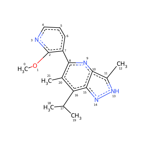 COc1ncccc1-c1nc2c(C)[nH]nc2c(C(C)C)c1C